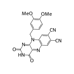 COc1ccc(Cn2c3nc(=O)[nH]c(=O)c-3nc3cc(C#N)c(C#N)cc32)cc1OC